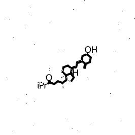 C=C1CC[C@H](O)C/C1=C/C=C1\CCC[C@]2(C)[C@@H]([C@H](C)CCC(=O)C(C)C)CC[C@@H]12